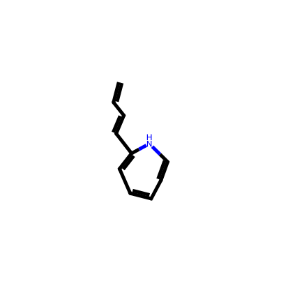 C=CC=CC1=CC=CC=CN1